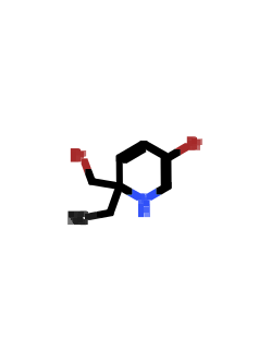 N#CCC1(CBr)C=CC(Br)=CN1